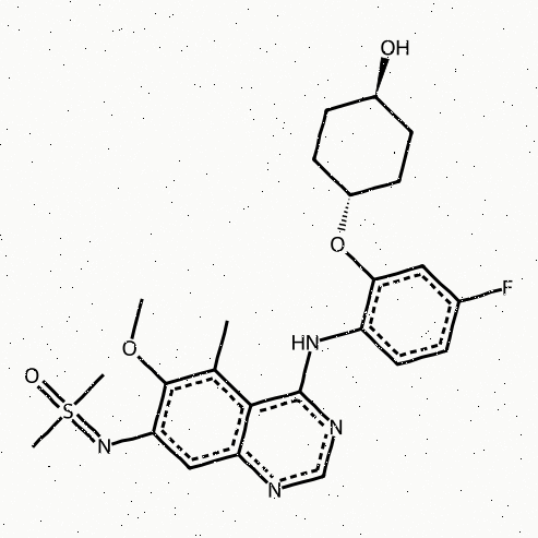 COc1c(N=S(C)(C)=O)cc2ncnc(Nc3ccc(F)cc3O[C@H]3CC[C@H](O)CC3)c2c1C